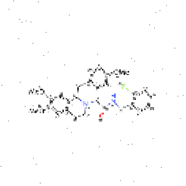 COc1ccc(CC2c3cc(OC)c(OC)cc3CCN2CC(=O)NCc2ccccc2F)cc1